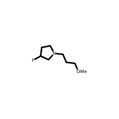 COCCCN1CCC(F)C1